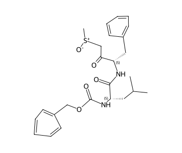 CC(C)C[C@H](NC(=O)OCc1ccccc1)C(=O)N[C@@H](Cc1ccccc1)C(=O)C[S+](C)[O-]